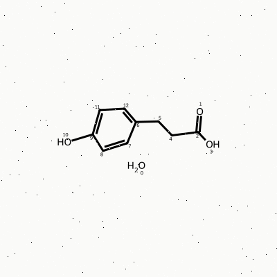 O.O=C(O)CCc1ccc(O)cc1